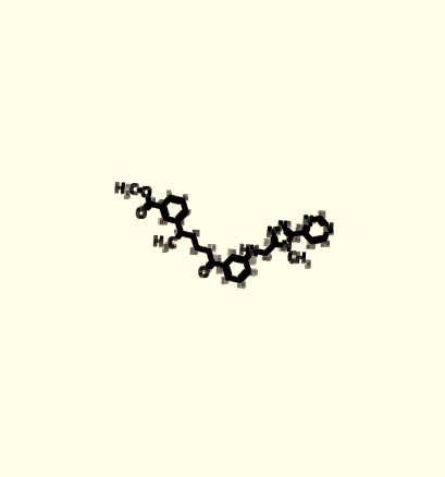 COC(=O)c1cccc(C(C)CCCC(=O)c2cccc(NCc3nnc(-c4ccncn4)n3C)c2)c1